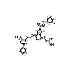 Cc1oc(-c2ccccc2)nc1CCOc1ccc(CCC(=O)O)c2c1CN(C(=O)OCc1ccccc1)C2